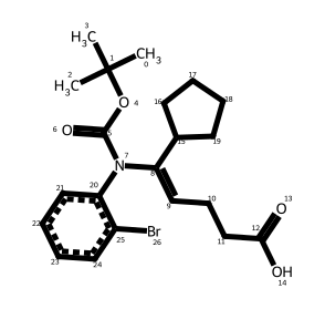 CC(C)(C)OC(=O)N(C(=CCCC(=O)O)C1CCCC1)c1ccccc1Br